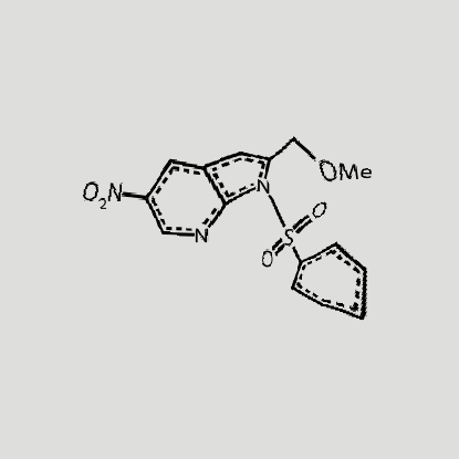 COCc1cc2cc([N+](=O)[O-])cnc2n1S(=O)(=O)c1ccccc1